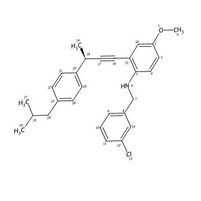 COc1ccc(NCc2cccc(Cl)c2)c(C#C[C@H](C)c2ccc(CC(C)C)cc2)c1